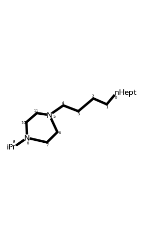 CCCCCCCCCCCN1CCN(C(C)C)CC1